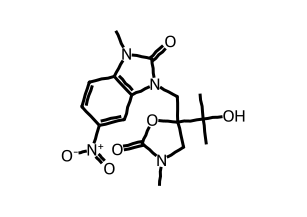 CN1CC(Cn2c(=O)n(C)c3ccc([N+](=O)[O-])cc32)(C(C)(C)O)OC1=O